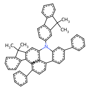 CC1(C)c2ccccc2-c2ccc(N(c3ccc4c(c3)C(C)(C)c3ccccc3-4)c3cc(-c4ccccc4)ccc3-c3ccc(-c4ccccc4)cc3)cc21